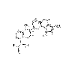 C[C@H]1c2cccc([C@@H](O)C(F)F)c2CCN1C(=O)Cc1c(Cl)ccc2c1c(Cl)nn2C